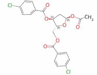 CC(=O)O[C@@H]1C[C@H](OC(=O)c2ccc(Cl)cc2)[C@@H](COC(=O)c2ccc(Cl)cc2)O1